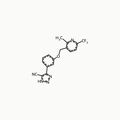 Cc1nc(C(F)(F)F)ccc1COc1cccc(-c2nn[nH]c2C#N)c1